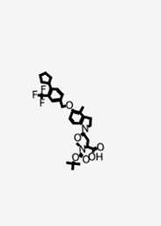 Cc1c(OCc2ccc(C3CCCC3)c(C(F)(F)F)c2)ccc2c1CCN2C(=O)CC(C(=O)O)N(C)C(=O)OC(C)(C)C